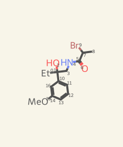 CCC(O)(CNC(=O)C(C)Br)c1cccc(OC)c1